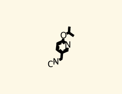 [C-]#[N+]Cc1ccc(OC(C)C)nc1